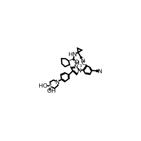 Cc1cc(C#N)ccc1-n1cc(-c2ccc(N3CCS(O)(O)CC3)cc2)c([C@@H]2CCCC[C@H]2C(=O)NC2(C#N)CC2)n1